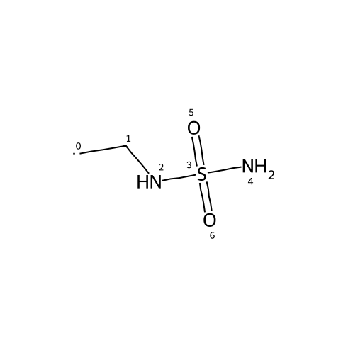 [CH2]CNS(N)(=O)=O